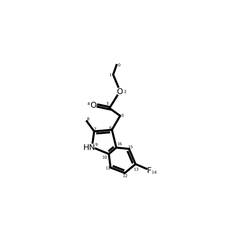 CCOC(=O)Cc1c(C)[nH]c2ccc(F)cc12